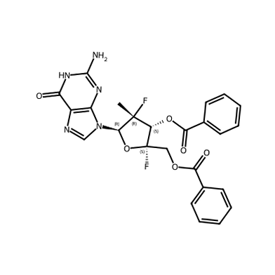 C[C@]1(F)[C@H](n2cnc3c(=O)[nH]c(N)nc32)O[C@](F)(COC(=O)c2ccccc2)[C@H]1OC(=O)c1ccccc1